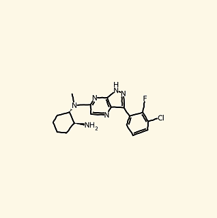 CN(c1cnc2c(-c3cccc(Cl)c3F)n[nH]c2n1)[C@H]1CCCC[C@@H]1N